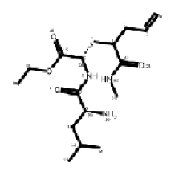 C=CCC(C[C@H](NC(=O)[C@@H](N)CC(C)C)C(=O)OCC)C(=O)NC